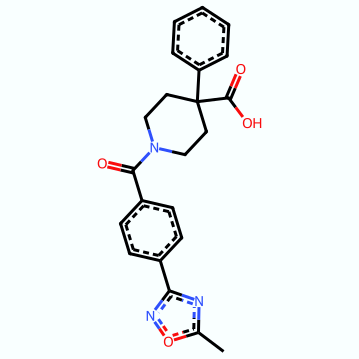 Cc1nc(-c2ccc(C(=O)N3CCC(C(=O)O)(c4ccccc4)CC3)cc2)no1